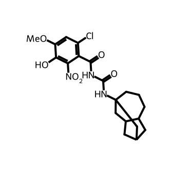 COc1cc(Cl)c(C(=O)NC(=O)NC23CCCC4CC(CC4C2)C3)c([N+](=O)[O-])c1O